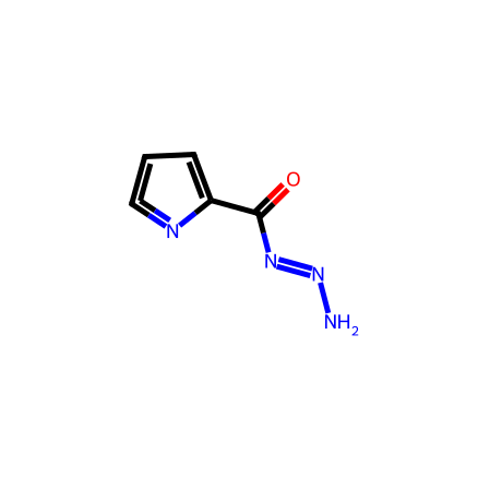 NN=NC(=O)C1=CC=C=N1